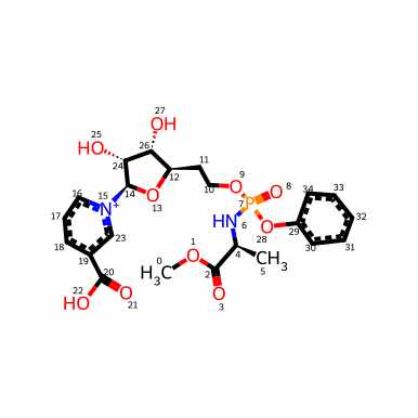 COC(=O)[C@H](C)NP(=O)(OCC[C@H]1O[C@@H]([n+]2cccc(C(=O)O)c2)[C@H](O)[C@@H]1O)Oc1ccccc1